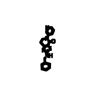 O=C1c2sc(NCc3ccccc3)nc2CCN1c1cccnc1